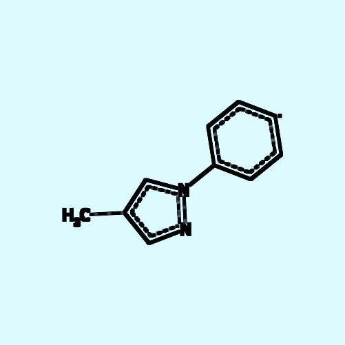 Cc1cnn(-c2cc[c]cc2)c1